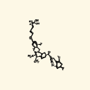 CC1c2ccc(C(=O)NCc3c(F)cc(F)cc3F)cc2N(Cc2c(F)cc(OCCCOP(=O)(O)O)cc2F)C(=O)N1C